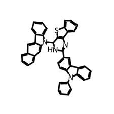 c1ccc(-n2c3ccccc3c3cc(C4=Nc5c(sc6ccccc56)C(n5c6ccccc6c6cc7ccccc7cc65)N4)ccc32)cc1